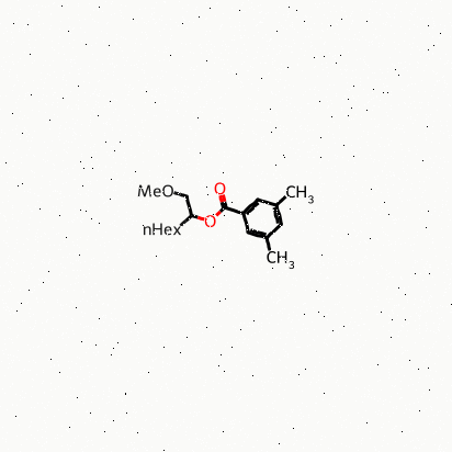 CCCCCCC(COC)OC(=O)c1cc(C)cc(C)c1